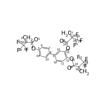 C=C(C(=O)Oc1ccc(-c2ccc(OC(=O)C(=C)C(F)(F)F)c(OC(=O)C(=C)C(F)(F)F)c2)cc1)C(F)(F)F